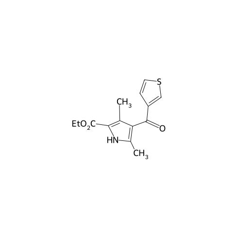 CCOC(=O)c1[nH]c(C)c(C(=O)c2ccsc2)c1C